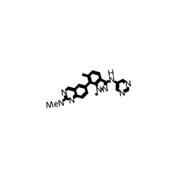 CNc1ncc2cc(-c3c(C)ccc4c(Nc5cncnc5)nn(C)c34)ccc2n1